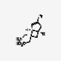 CC(C)C1=C[C@H]2[C@@H](C1)C[C@@]2(CN)CC(=O)O